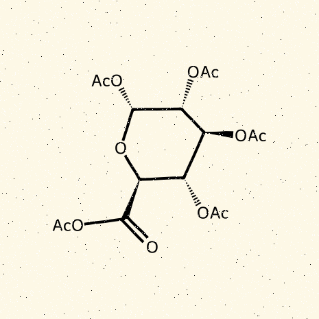 CC(=O)OC(=O)[C@H]1O[C@H](OC(C)=O)[C@H](OC(C)=O)[C@@H](OC(C)=O)[C@@H]1OC(C)=O